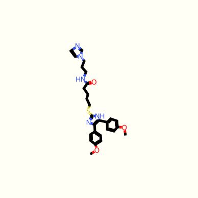 COc1ccc(-c2nc(SCCCCC(=O)NCCCn3ccnc3)[nH]c2-c2ccc(OC)cc2)cc1